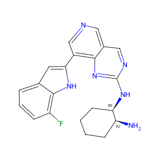 N[C@H]1CCCC[C@H]1Nc1ncc2cncc(-c3cc4cccc(F)c4[nH]3)c2n1